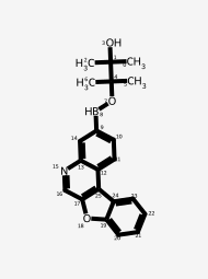 CC(C)(O)C(C)(C)OBc1ccc2c(c1)ncc1oc3ccccc3c12